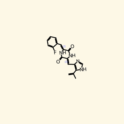 C=C(C)c1[nH]cnc1/C=c1\[nH]c(=O)/c(=C/c2ccccc2F)[nH]c1=O